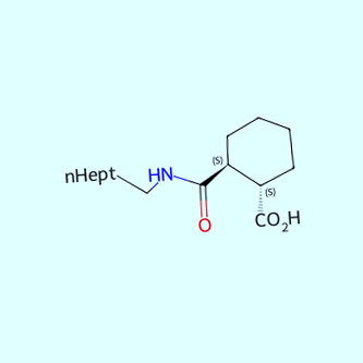 CCCCCCCCNC(=O)[C@H]1CCCC[C@@H]1C(=O)O